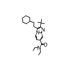 CCN(CC)C(=O)c1ccn2c(CCC3CCCCC3)c(C(C)(C)C)nc2c1